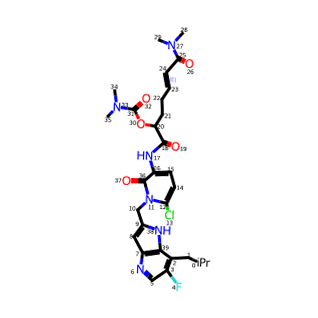 CC(C)Cc1c(F)cnc2cc(Cn3c(Cl)ccc(NC(=O)C(CC/C=C/C(=O)N(C)C)OC(=O)N(C)C)c3=O)[nH]c12